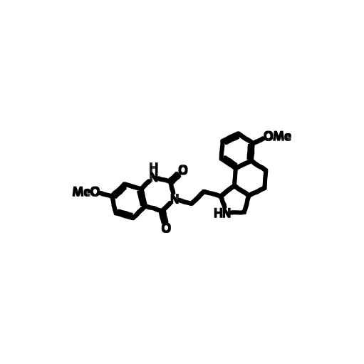 COc1ccc2c(=O)n(CCC3NCC4CCc5c(OC)cccc5C43)c(=O)[nH]c2c1